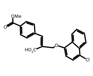 COC(=O)c1ccc(C=C(COc2ccc(Cl)c3ccccc23)C(=O)O)cc1